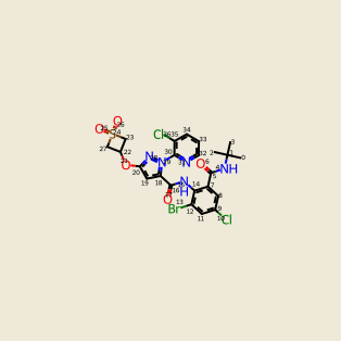 CC(C)(C)NC(=O)c1cc(Cl)cc(Br)c1NC(=O)c1cc(OC2CS(=O)(=O)C2)nn1-c1ncccc1Cl